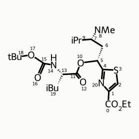 CCOC(=O)c1csc([C@@H](C[C@@H](NC)C(C)C)OC(=O)[C@@H](NC(=O)OC(C)(C)C)[C@@H](C)CC)n1